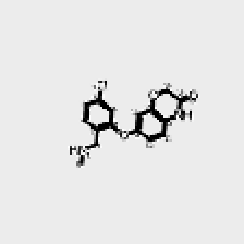 CNCc1ccc(Cl)cc1Oc1ccc2c(c1)OCC(=O)N2